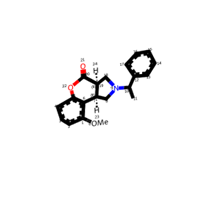 COc1cccc2c1[C@@H]1CN(C(C)c3ccccc3)C[C@@H]1C(=O)O2